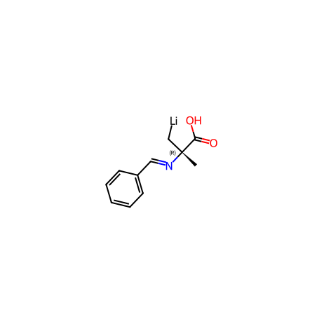 [Li][CH2][C@@](C)(N=Cc1ccccc1)C(=O)O